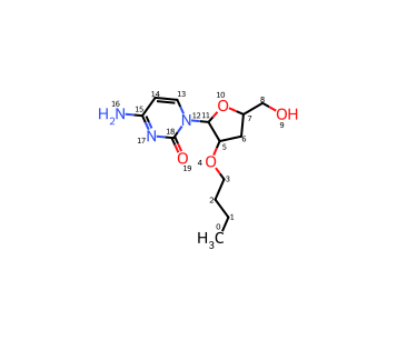 CCCCOC1CC(CO)OC1n1ccc(N)nc1=O